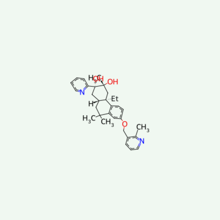 CC[C@@]12C[C@@](C)(O)[C@](O)(c3ccccn3)C[C@H]1CC(C)(C)c1cc(OCc3cccnc3C)ccc12